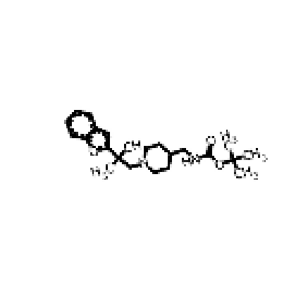 CC(C)(C)OC(=O)NCC1CCN(CC(C)(C)c2cc3ccccc3o2)CC1